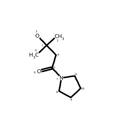 CC(C)([O])CC(=O)N1CCCC1